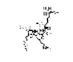 C[C@H](NC(=O)[C@@H](N)CCCNC(=N)N)C(=O)N[C@@H](CCCCN)C(=O)N[C@@H](CCCCN=[N+]=[N-])C(=O)O